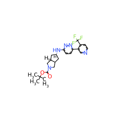 CC(C)(C)OC(=O)N1CC2C[C@@H](Nc3ccc(-c4cnccc4C(F)(F)F)nn3)C[C@@H]2C1